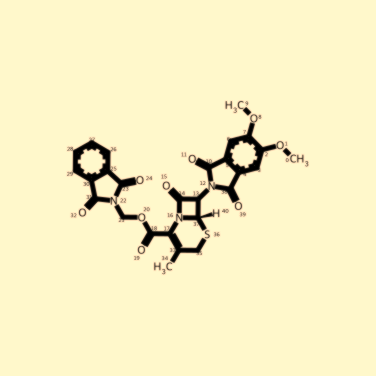 COc1cc2c(cc1OC)C(=O)N(C1C(=O)N3C(C(=O)OCN4C(=O)c5ccccc5C4=O)=C(C)CS[C@@H]13)C2=O